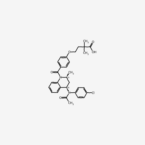 CC(=O)N(c1ccc(Cl)cc1)[C@@H]1C[C@H](C)N(C(=O)c2ccc(OCCC(C)(C)C(=O)O)cc2)c2ccccc21